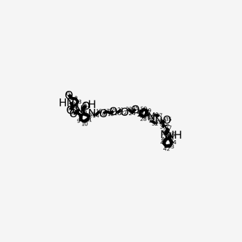 O=C1CCC(N2C(=O)c3cccc(NCCOCCOCCOCCOc4ccc(N5CCN(C(=O)CSc6nc7ccccc7[nH]6)CC5)cc4)c3C2=O)C(=O)N1